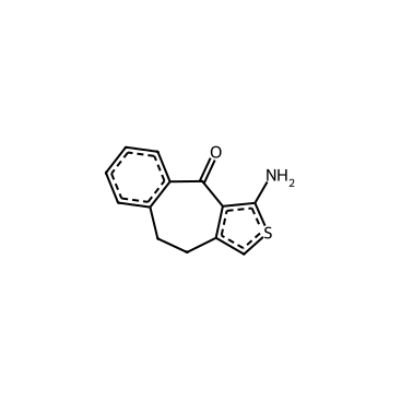 Nc1scc2c1C(=O)c1ccccc1CC2